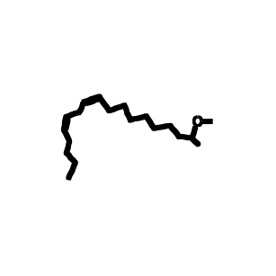 CCCC/C=C\C/C=C\CCCCCCCC(C)OC